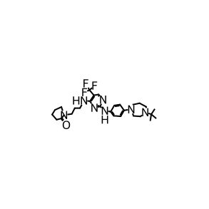 CC(C)(C)N1CCCN(c2ccc(Nc3ncc(C(F)(F)F)c(NCCCN4CCCCC4=O)n3)cc2)CC1